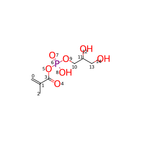 C=C(C)C(=O)OP(=O)(O)OCC(O)CO